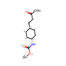 COC(=O)CC[C@H]1CC[C@H](NC(=O)OC(C)(C)C)CC1